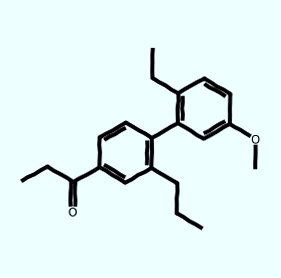 CCCc1cc(C(=O)CC)ccc1-c1cc(OC)ccc1CC